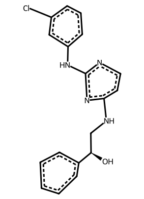 O[C@H](CNc1ccnc(Nc2cccc(Cl)c2)n1)c1ccccc1